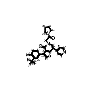 O=C(Cn1cc(-c2ccncc2)c2scc(-c3ccc(F)c(C(F)(F)F)c3)c2c1=O)N1CCCC1